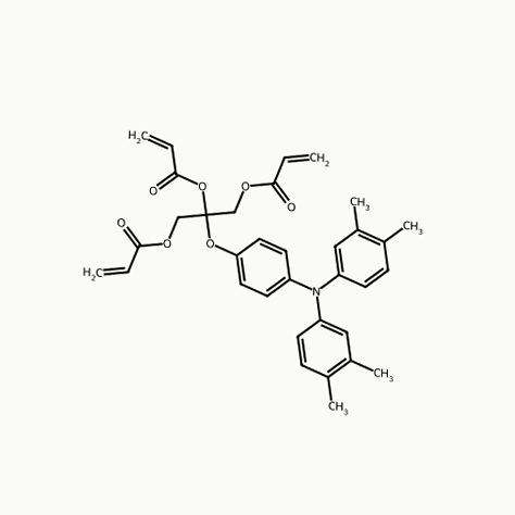 C=CC(=O)OCC(COC(=O)C=C)(OC(=O)C=C)Oc1ccc(N(c2ccc(C)c(C)c2)c2ccc(C)c(C)c2)cc1